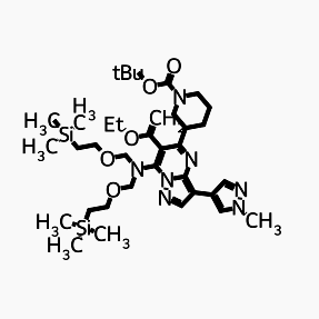 C=C(OCC)c1c(C2CCCN(C(=O)OC(C)(C)C)C2)nc2c(-c3cnn(C)c3)cnn2c1N(COCC[Si](C)(C)C)COCC[Si](C)(C)C